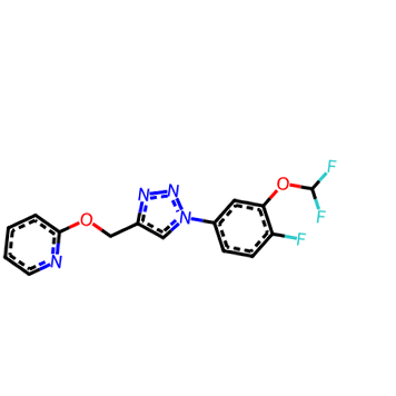 Fc1ccc(-n2cc(COc3ccccn3)nn2)cc1OC(F)F